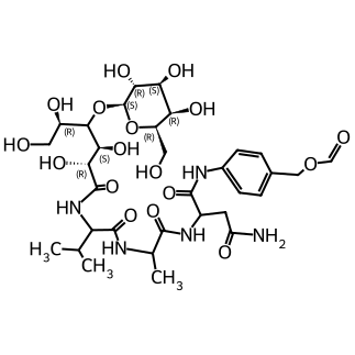 CC(NC(=O)C(NC(=O)[C@H](O)[C@H](O)C(O[C@@H]1O[C@H](CO)[C@H](O)[C@H](O)[C@H]1O)[C@H](O)CO)C(C)C)C(=O)NC(CC(N)=O)C(=O)Nc1ccc(COC=O)cc1